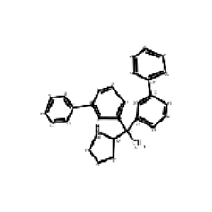 CC(c1cccc(-c2ccccc2)c1)(c1cccc(-c2ccccc2)c1)C1CCCN1